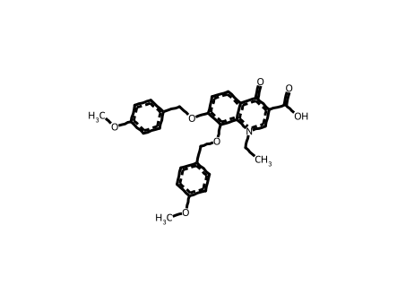 CCn1cc(C(=O)O)c(=O)c2ccc(OCc3ccc(OC)cc3)c(OCc3ccc(OC)cc3)c21